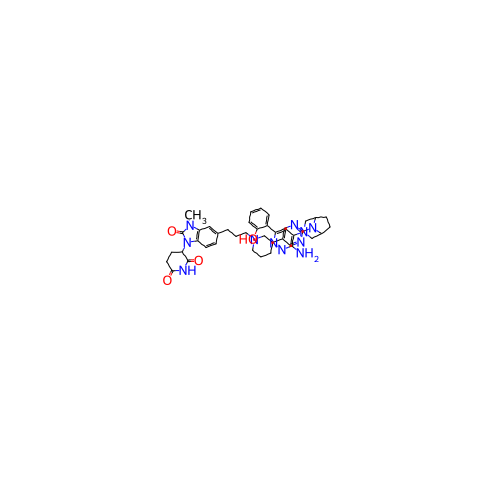 Cn1c(=O)n(C2CCC(=O)NC2=O)c2ccc(CCCN3CCCC(c4cnc(N5C6CCC5CN(c5cc(-c7ccccc7O)nnc5N)C6)nc4)C3)cc21